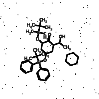 C1CCCCC1.CC(O)C1CC(O[Si](c2ccccc2)(c2ccccc2)C(C)(C)C)CC(O[Si](C)(C)C(C)(C)C)C1=O